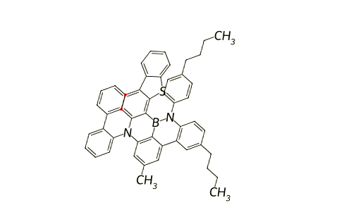 CCCCc1ccc(N2B3c4c(cc(C)cc4N(c4ccccc4-c4ccccc4)c4ccc5c(sc6ccccc65)c43)-c3cc(CCCC)ccc32)cc1